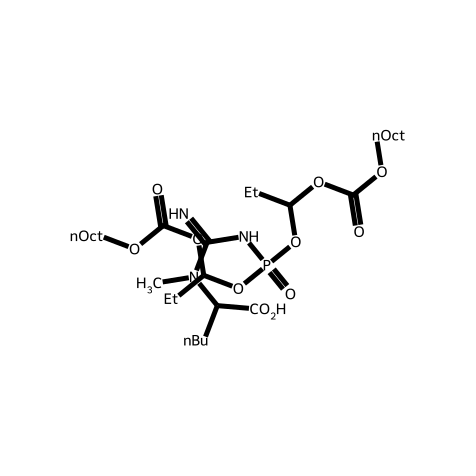 CCCCCCCCOC(=O)OC(CC)OP(=O)(NC(=N)N(C)C(CCCC)C(=O)O)OC(CC)OC(=O)OCCCCCCCC